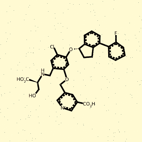 O=C(O)c1cncc(COc2cc(O[C@H]3CCc4c(-c5ccccc5F)cccc43)c(Cl)cc2CN[C@@H](CO)C(=O)O)c1